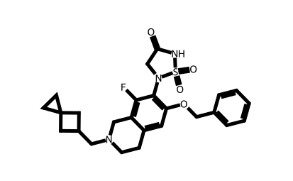 O=C1CN(c2c(OCc3ccccc3)cc3c(c2F)CN(CC2CC4(CC4)C2)CC3)S(=O)(=O)N1